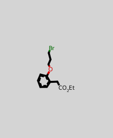 CCOC(=O)Cc1ccccc1OCCCBr